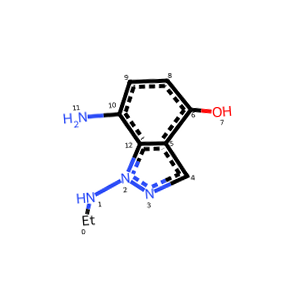 CCNn1ncc2c(O)ccc(N)c21